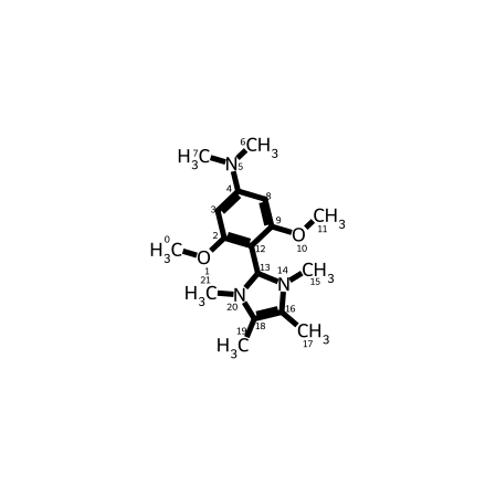 COc1cc(N(C)C)cc(OC)c1C1N(C)C(C)=C(C)N1C